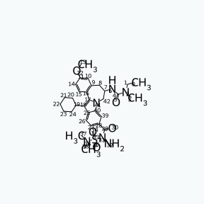 CCN(C)C(=O)NC1Cc2cc(OC)ccc2-c2c(C3CCCCC3)c3ccc(C(=O)N(N)S(=O)(=O)N(C)C)cc3n2C1